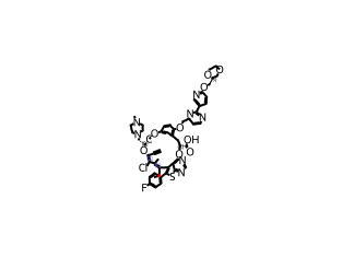 C#C/C1=C(Cl)\C(C)=C(/CC)c2c(-c3ccc(F)cc3)sc3ncnc(c23)O[C@@H](C(=O)O)Cc2cc(ccc2OCc2ccnc(-c3ccc(OC[C@@H]4COCCO4)nc3)n2)OC[C@@H](CN2CCN(C)CC2)O1